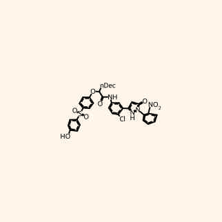 CCCCCCCCCCC(Oc1ccc(S(=O)(=O)c2ccc(O)cc2)cc1)C(=O)Nc1ccc(Cl)c(-c2cc(=O)n(-c3ccccc3[N+](=O)[O-])[nH]2)c1